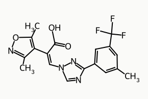 Cc1cc(-c2ncn(C=C(C(=O)O)c3c(C)noc3C)n2)cc(C(F)(F)F)c1